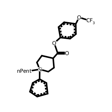 CCCCC[Si]1(c2ccccc2)CCC(C(=O)Oc2ccc(OC(F)(F)F)cc2)CC1